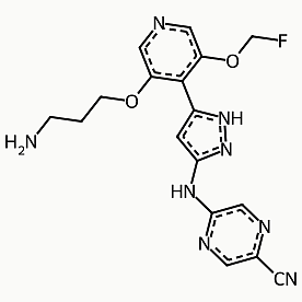 N#Cc1cnc(Nc2cc(-c3c(OCF)cncc3OCCCN)[nH]n2)cn1